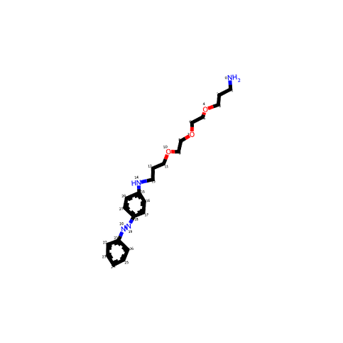 NCCCOCCOCCOCCCNc1ccc(/N=N/c2ccccc2)cc1